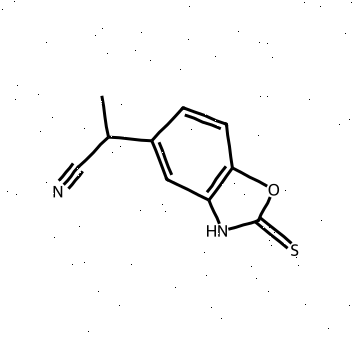 CC(C#N)c1ccc2oc(=S)[nH]c2c1